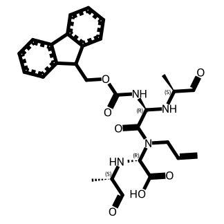 C=CCN(C(=O)[C@@H](NC(=O)OCC1c2ccccc2-c2ccccc21)N[C@@H](C)C=O)[C@@H](N[C@@H](C)C=O)C(=O)O